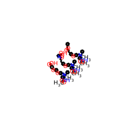 Cc1c(NS(C)(=O)=O)cccc1N(Cc1ccccc1)Cc1ccc(Oc2ccc(CCC(=O)OCc3ccccc3)cc2)cc1.Cc1c(NS(C)(=O)=O)cccc1N(Cc1ccccc1)Cc1ccc(Oc2ccc(CCCC(=O)N3CCC[C@H]3C(=O)O)cc2)cc1.Cc1c(NS(C)(=O)=O)cccc1N(Cc1ccccc1)Cc1ccc(Oc2cccc(OC3CCC(C(=O)O)CC3)c2)cc1